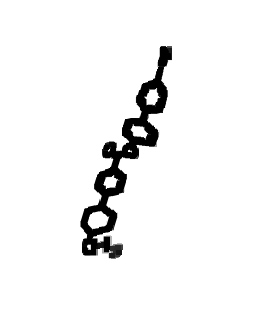 CC1CCC(c2ccc(C(=O)Oc3ccc(-c4ccc(C#N)cc4)cc3)cc2)CC1